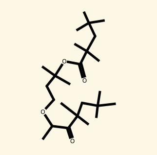 CC(OCCC(C)(C)OC(=O)C(C)(C)CC(C)(C)C)C(=O)C(C)(C)CC(C)(C)C